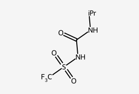 CC(C)NC(=O)NS(=O)(=O)C(F)(F)F